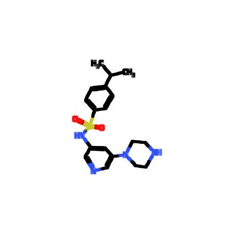 CC(C)c1ccc(S(=O)(=O)Nc2cncc(N3CCNCC3)c2)cc1